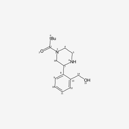 CC(C)(C)C(=O)N1CCNC(c2ccccc2CO)C1